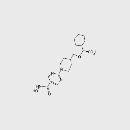 O=C(NO)c1cnc(N2CCC(CO[C@H](C(=O)O)C3CCCCC3)CC2)nc1